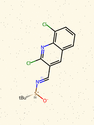 CC(C)(C)[S@@+]([O-])/N=C/c1cc2cccc(Cl)c2nc1Cl